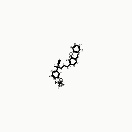 C#CC(C)(CCCc1ccc(F)c(Oc2ccccc2)c1)c1cccc(OC(F)(F)F)c1